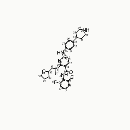 O=C(Nc1c(F)cccc1Cl)c1cnc(Nc2ccc(C3CCNCC3)cc2)nc1NCC1CCCO1